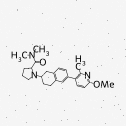 COc1ccc(-c2ccc3c(c2)CCC(N2CCCC2C(=O)N(C)C)C3)c(C)n1